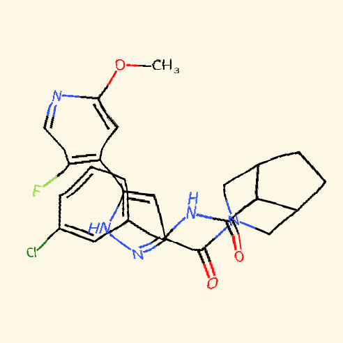 COc1cc(-c2cc(C(=O)N3CC4CCC(C3)C4C(=O)NCc3cccc(Cl)c3)n[nH]2)c(F)cn1